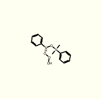 C[Si](C)(O[SiH](OOO)c1ccccc1)c1ccccc1